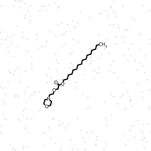 CCCCCCCCCCCCCCCCOC(=O)COCCN1CCOCC1